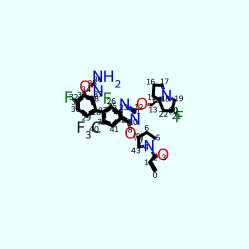 C=CC(=O)N1CC[C@@H](Oc2nc(OC[C@@]34CCCN3C[C@H](F)C4)nc3c(F)c(-c4ccc(F)c5oc(N)nc45)c(C(F)(F)F)cc23)C1